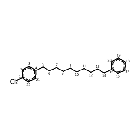 Clc1ccc(CCCCCCCCCCc2ccccc2)cc1